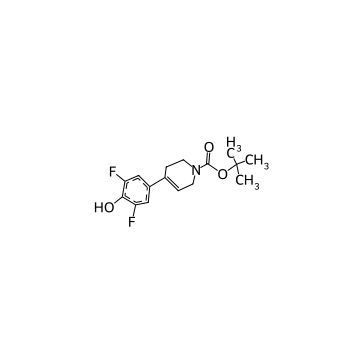 CC(C)(C)OC(=O)N1CC=C(c2cc(F)c(O)c(F)c2)CC1